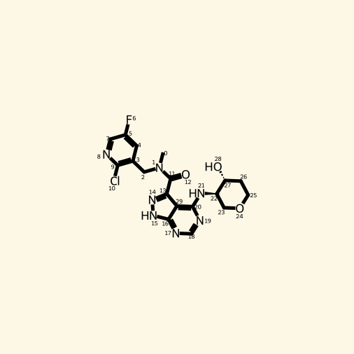 CN(Cc1cc(F)cnc1Cl)C(=O)c1n[nH]c2ncnc(N[C@@H]3COCC[C@H]3O)c12